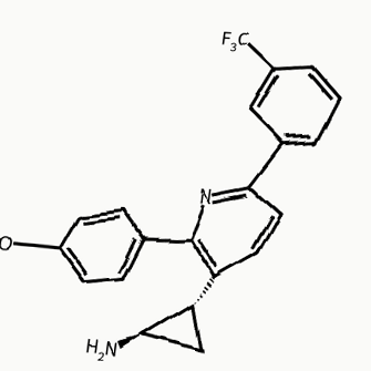 N[C@@H]1C[C@H]1c1ccc(-c2cccc(C(F)(F)F)c2)nc1-c1ccc(O)cc1